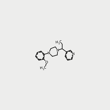 CCC(c1cccnc1)N1CCN(c2ccccc2OC)CC1